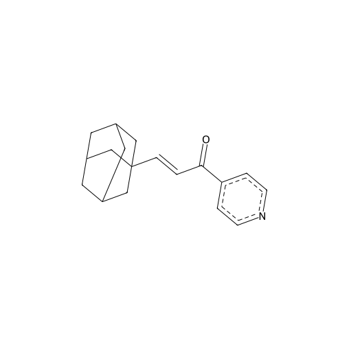 O=C(C=CC12CC3CC(CC(C3)C1)C2)c1ccncc1